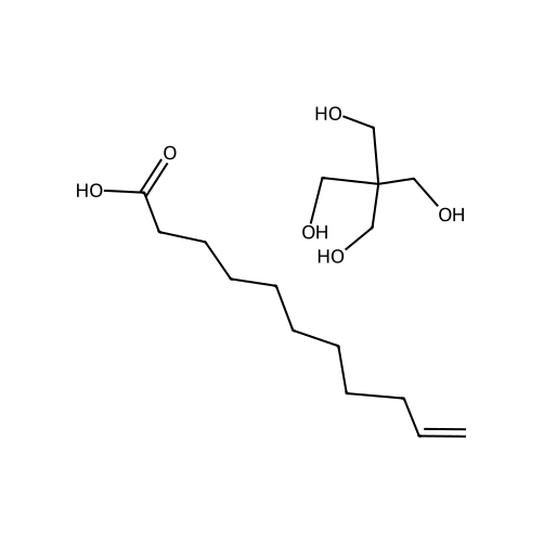 C=CCCCCCCCCC(=O)O.OCC(CO)(CO)CO